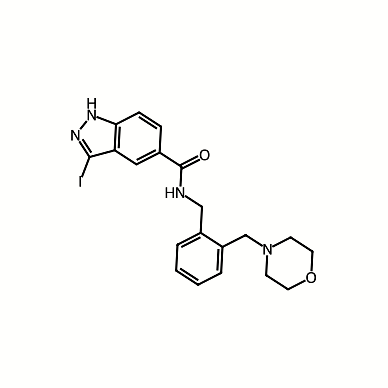 O=C(NCc1ccccc1CN1CCOCC1)c1ccc2[nH]nc(I)c2c1